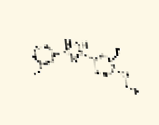 [CH2]c1cccc(-c2n[nH]c(-c3ccc(OCF)c(F)c3)n2)c1